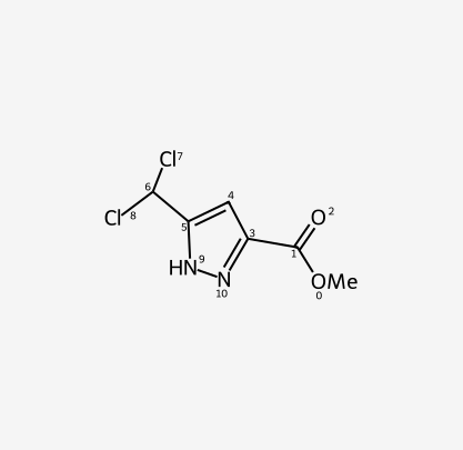 COC(=O)c1cc(C(Cl)Cl)[nH]n1